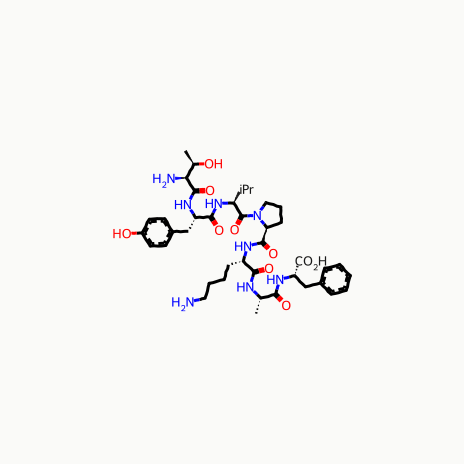 CC(C)[C@H](NC(=O)[C@H](Cc1ccc(O)cc1)NC(=O)[C@@H](N)[C@@H](C)O)C(=O)N1CCC[C@H]1C(=O)N[C@@H](CCCCN)C(=O)N[C@@H](C)C(=O)N[C@@H](Cc1ccccc1)C(=O)O